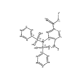 COC(=O)c1ccc(OC)c(N(S(=O)(=O)c2ccccc2)S(=O)(=O)c2ccccc2)c1